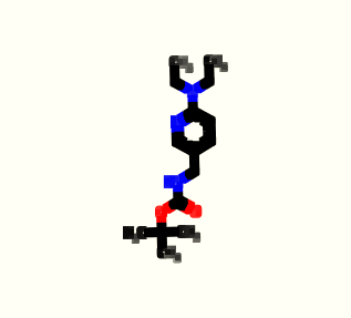 CCN(CC)c1ccc(CNC(=O)OC(C)(C)C)cn1